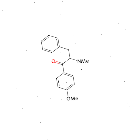 CNC(Cc1ccccc1)C(=O)c1ccc(OC)cc1